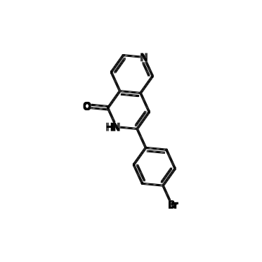 O=c1[nH]c(-c2ccc(Br)cc2)cc2cnccc12